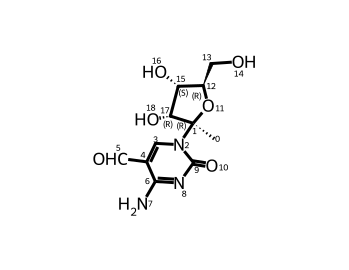 C[C@@]1(n2cc(C=O)c(N)nc2=O)O[C@H](CO)[C@@H](O)[C@H]1O